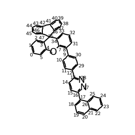 c1ccc2c(c1)Oc1c(-c3ccc(-c4ccc(-c5cccc6ccccc56)nn4)cc3)cccc1C21c2ccccc2-c2ccccc21